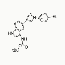 CCc1ccc(-n2cc(-c3ccc4[nH]cc(NC(=O)OC(C)(C)C)c4c3)cn2)cc1